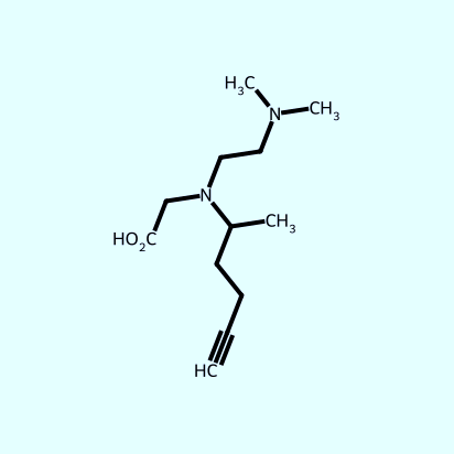 C#CCCC(C)N(CCN(C)C)CC(=O)O